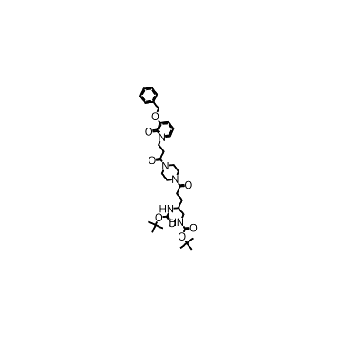 CC(C)(C)OC(=O)NCC(CCC(=O)N1CCN(C(=O)CCn2cccc(OCc3ccccc3)c2=O)CC1)NC(=O)OC(C)(C)C